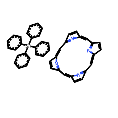 C1=CC2=NC1=CC1=NC(=CC3=NC(=CC4=NC(=C2)C=C4)C=C3)C=C1.c1cc[c]([Sn]([c]2ccccc2)([c]2ccccc2)[c]2ccccc2)cc1